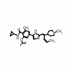 C/C=C\C(=C/c1ncc(-c2cc(C)c(C(=O)NC3CC3)c(OC(F)F)c2)[nH]1)C1CCN(C)CC1